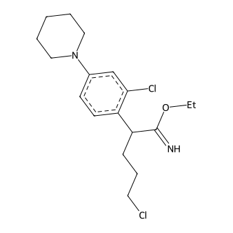 CCOC(=N)C(CCCCl)c1ccc(N2CCCCC2)cc1Cl